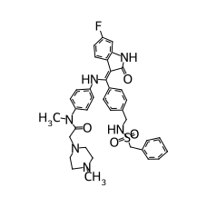 CN1CCN(CC(=O)N(C)c2ccc(NC(=C3C(=O)Nc4cc(F)ccc43)c3ccc(CNS(=O)(=O)Cc4ccccc4)cc3)cc2)CC1